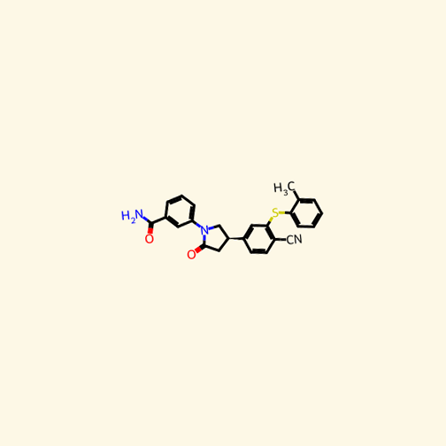 Cc1ccccc1Sc1cc([C@H]2CC(=O)N(c3cccc(C(N)=O)c3)C2)ccc1C#N